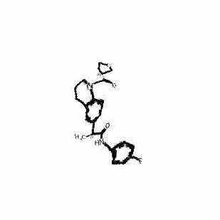 C[C@H](C(=O)Nc1ccc(F)cc1)c1ccc2c(c1)CCCN2C(=O)[C@@H]1CCOC1